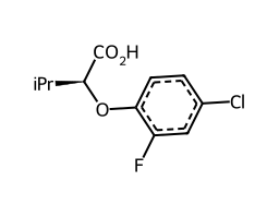 CC(C)[C@H](Oc1ccc(Cl)cc1F)C(=O)O